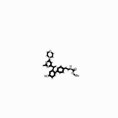 Cc1nc(C(C)c2cc(C#N)ccc2-c2ccc(CCNC(=O)OC(C)(C)C)cc2)cc(N2CCOCC2)n1